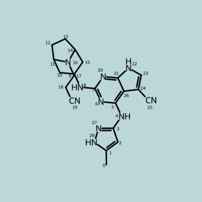 Cc1cc(Nc2nc(NC3CC4CCC(C3)N4CCC#N)nc3[nH]cc(C#N)c23)n[nH]1